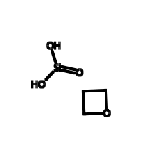 C1COC1.O=[Si](O)O